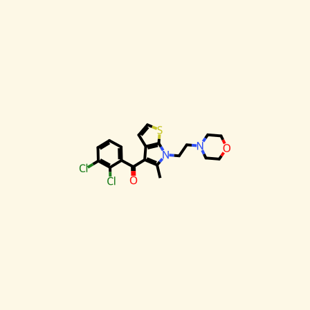 Cc1c(C(=O)c2cccc(Cl)c2Cl)c2ccsc2n1CCN1CCOCC1